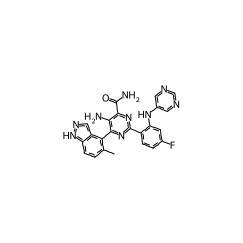 Cc1ccc2[nH]ncc2c1-c1nc(-c2ccc(F)cc2Nc2cncnc2)nc(C(N)=O)c1N